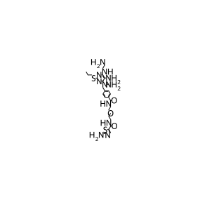 CCCSc1nc(NCCN)c(N)c(N(N)Cc2ccc(C(=O)NCCOCCNC(=O)c3cnc(N)s3)cc2)n1